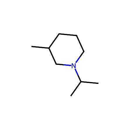 CC1CCCN(C(C)C)C1